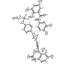 CCOC(=O)C(C)(C)Oc1ccc(Cl)cc1.O=C(Nc1ccc(Cl)c(Cl)c1)c1cc(Cl)cc(Cl)c1O.O=C1Nc2ccc(Cl)cc2[C@@](C#CC2CC2)(C(F)(F)F)O1